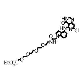 CCOC(=O)COCCOCCOCCOCCNC(=O)Cn1ccc2c(Nc3nc(Cl)cc4nc[nH]c(=O)c34)cccc21